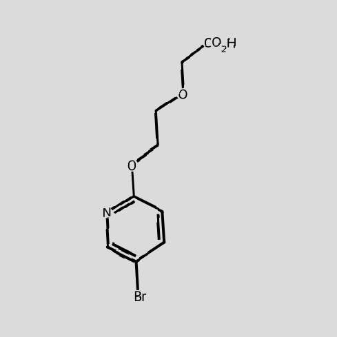 O=C(O)COCCOc1ccc(Br)cn1